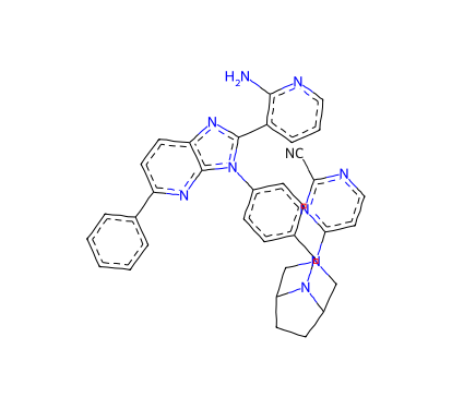 N#Cc1nccc(N2CC3CCC(C2)N3Cc2ccc(-n3c(-c4cccnc4N)nc4ccc(-c5ccccc5)nc43)cc2)n1